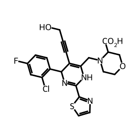 O=C(O)C1COCCN1CC1=C(C#CCO)C(c2ccc(F)cc2Cl)N=C(c2nccs2)N1